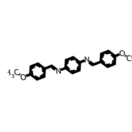 COc1ccc(C=Nc2ccc(N=Cc3ccc(OC)cc3)cc2)cc1